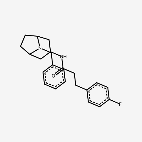 O=C(CCc1ccc(F)cc1)NC1CC2CCC(C1)N2Cc1ccccc1